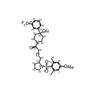 COc1cc(C)c(S(=O)(=O)N2CCCC2COCC(=O)N2CCC(O)(c3cccc(C(F)(F)F)c3)CC2)c(C)c1